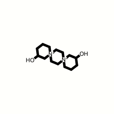 OC1CCC[N+]2(CC[N+]3(CCCC(O)C3)CC2)C1